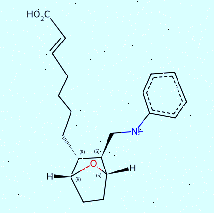 O=C(O)C=CCCCC[C@@H]1[C@@H](CNc2ccccc2)[C@@H]2CC[C@H]1O2